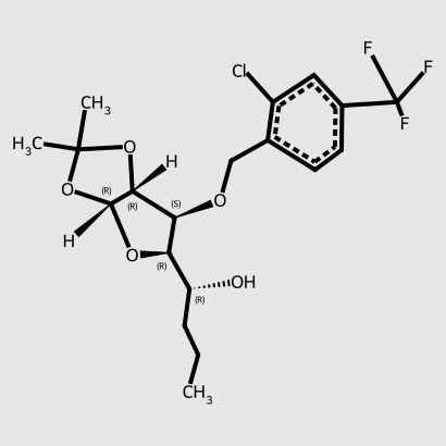 CCC[C@@H](O)[C@H]1O[C@@H]2OC(C)(C)O[C@@H]2[C@H]1OCc1ccc(C(F)(F)F)cc1Cl